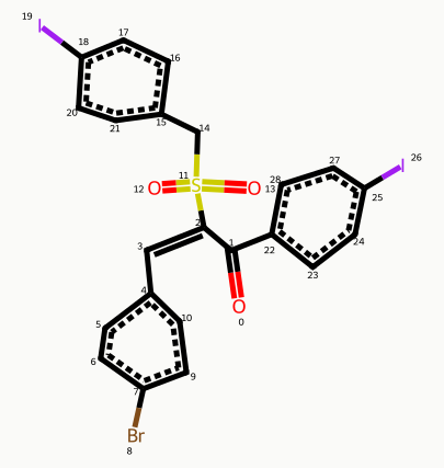 O=C(/C(=C\c1ccc(Br)cc1)S(=O)(=O)Cc1ccc(I)cc1)c1ccc(I)cc1